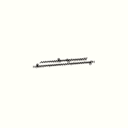 CCCCCCCCCCCCCCCCCC(=O)OCCCCCCOC(=O)CCCCCCCCCCCCCCCCC.O=C(O)CCCCCCCCCCCCCCCCCCCCCCCCCCCCCCCCCCCCCCCCCCCCCCCCC(=O)O